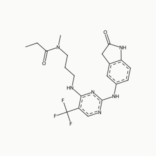 CCC(=O)N(C)CCCNc1nc(Nc2ccc3c(c2)CC(=O)N3)ncc1C(F)(F)F